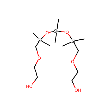 C[Si](C)(COCCO)O[Si](C)(C)O[Si](C)(C)COCCO